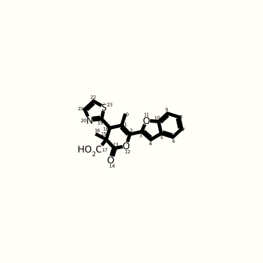 CC1=C(c2cc3ccccc3o2)OC(=O)C(C)(C(=O)O)C1c1nccs1